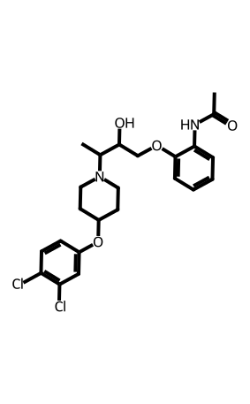 CC(=O)Nc1ccccc1OCC(O)C(C)N1CCC(Oc2ccc(Cl)c(Cl)c2)CC1